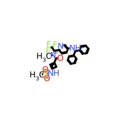 CN(C(=O)C12CC(NS(C)(=O)=O)(C1)C2)[C@@H](c1ccc(NC(c2ccccc2)c2ccccc2)cn1)C(F)(F)F